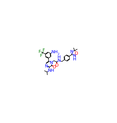 CC(C)Nc1ncc(-c2cc(N)cc(C(F)(F)F)c2)n(CC(=O)NCc2ccc(C3=NC(C)(C)ON3)cc2)c1=O